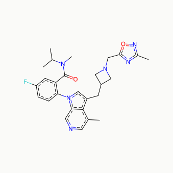 Cc1noc(CN2CC(Cc3cn(-c4ccc(F)cc4C(=O)N(C)C(C)C)c4cncc(C)c34)C2)n1